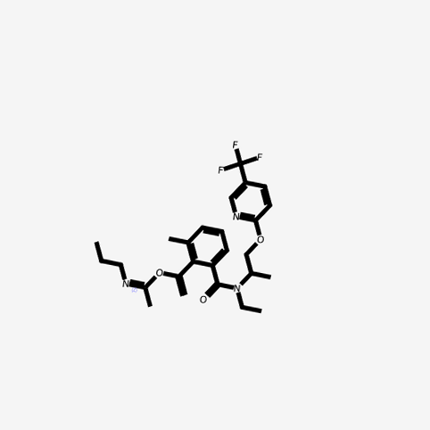 C=C(O/C(C)=N\CCC)c1c(C)cccc1C(=O)N(CC)C(C)COc1ccc(C(F)(F)F)cn1